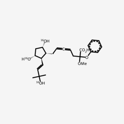 COC(CC=C=CC[C@@H]1[C@@H](C=CC(C)(C)[16OH])[C@H]([16OH])C[C@@H]1[16OH])(Oc1ccccc1)C(=O)O